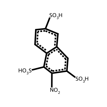 O=[N+]([O-])c1c(S(=O)(=O)O)cc2cc(S(=O)(=O)O)ccc2c1S(=O)(=O)O